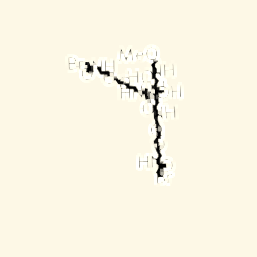 COCCNC(O)CCC(O)N(CC(=O)NCCOCCOCCNC(=O)CBr)CC(O)NCCOCCOCCNC(=O)CBr